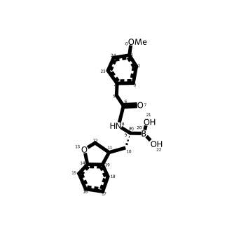 COc1ccc(CC(=O)N[C@@H](CC2COc3ccccc32)B(O)O)cc1